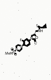 CNS(=O)(=O)N1CCN(c2ccc(N3C[C@H](CNC(=S)C4CC4)OC3=O)cc2F)CC1